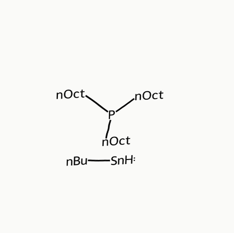 CCCCCCCCP(CCCCCCCC)CCCCCCCC.CCC[CH2][SnH]